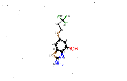 Nc1nc2c(O)cc(SCCC(F)(F)F)cc2s1